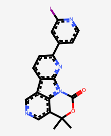 CC1(C)OC(=O)n2c3nc(-c4ccnc(I)c4)ccc3c3cncc1c32